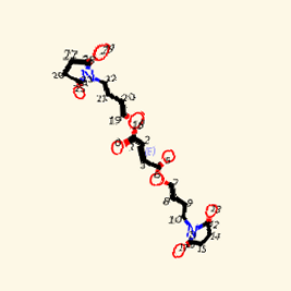 O=C(/C=C/C(=O)OCCCCN1C(=O)CCC1=O)OCCCCN1C(=O)CCC1=O